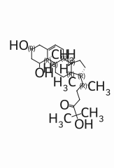 C[C@H](CCC(=O)C(C)(C)O)[C@H]1CC[C@H]2[C@@H]3CC=C4C[C@@H](O)CC(O)[C@]4(C)[C@H]3CC[C@]12C